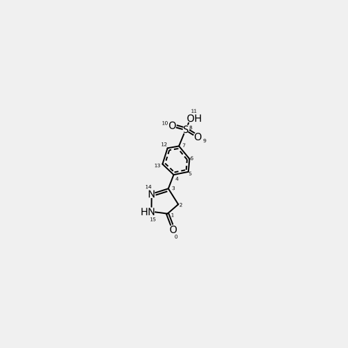 O=C1CC(c2ccc(S(=O)(=O)O)cc2)=NN1